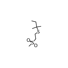 CCC(C)(C)SCCS(C)(=O)=O